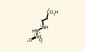 O=C(O)CCNN[SH](=O)=O